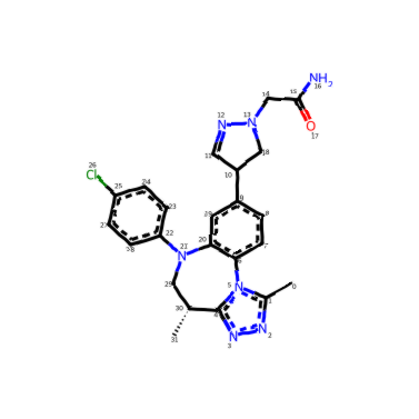 Cc1nnc2n1-c1ccc(C3C=NN(CC(N)=O)C3)cc1N(c1ccc(Cl)cc1)C[C@H]2C